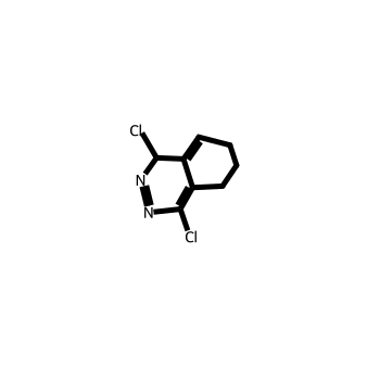 ClC1=C2CCCC=C2C(Cl)N=N1